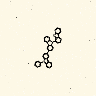 c1ccc(-n2c3ccccc3c3cc(-c4ccc5c(c4)-c4ccccc4C5c4cccc5c4sc4ccccc45)ccc32)cc1